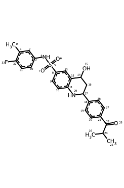 Cc1cc(NS(=O)(=O)c2ccc3c(c2)C(O)CC(c2ccc(C(=O)C(C)C)cc2)N3)ccc1F